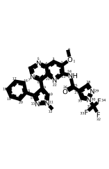 COc1cc2ncnc(-c3cn(C)nc3-c3ccccc3)c2nc1NC(=O)c1cnn(C(F)(F)F)c1